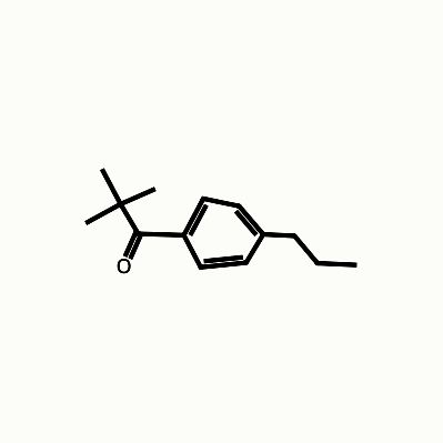 CCCc1ccc(C(=O)C(C)(C)C)cc1